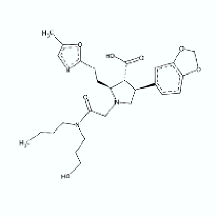 CCCCN(CCCO)C(=O)CN1C[C@H](c2ccc3c(c2)OCO3)[C@@H](C(=O)O)[C@@H]1CCc1ncc(C)o1